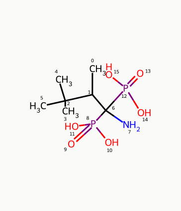 CC(C(C)(C)C)C(N)(P(=O)(O)O)P(=O)(O)O